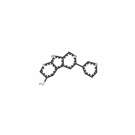 Cc1cnc2[nH]c3cnc(-c4cccnc4)cc3c2c1